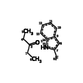 CCC(=O)CC.Fc1cc2ccccc2[nH]1